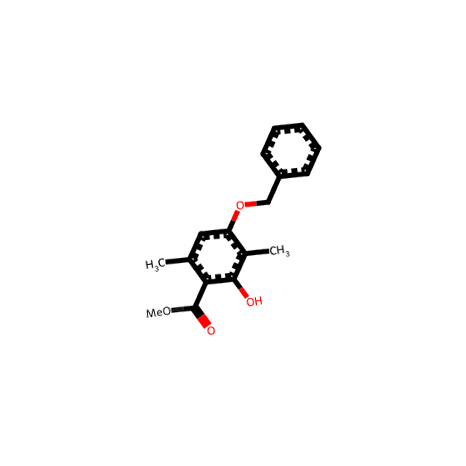 COC(=O)c1c(C)cc(OCc2ccccc2)c(C)c1O